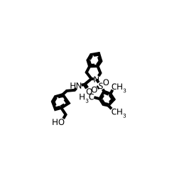 Cc1cc(C)c(S(=O)(=O)N2Cc3ccccc3CC2C(=O)NCCc2cccc(CO)c2)c(C)c1